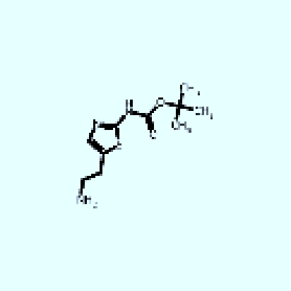 CC(C)(C)OC(=O)Nc1ncc(CCN)s1